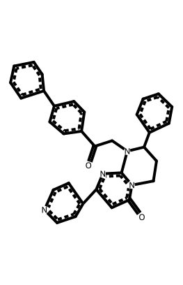 O=C(CN1c2nc(-c3ccncc3)cc(=O)n2CCC1c1ccccc1)c1ccc(-c2ccccc2)cc1